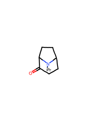 CC(C)N1C2CCC(=O)C1CC2